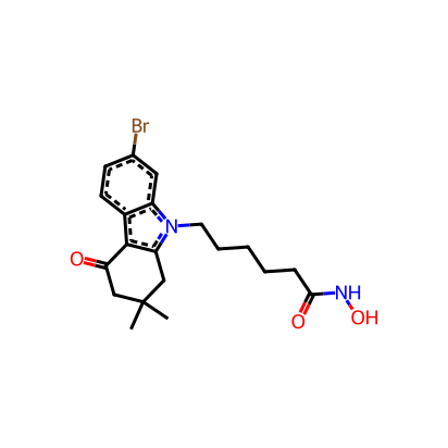 CC1(C)CC(=O)c2c(n(CCCCCC(=O)NO)c3cc(Br)ccc23)C1